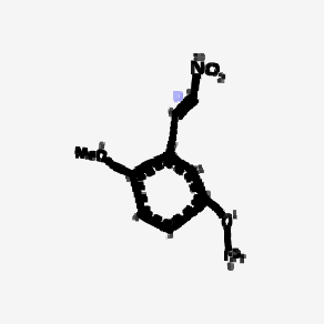 CCCOc1ccc(OC)c(/C=C/[N+](=O)[O-])c1